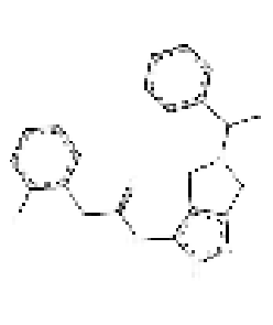 CC(c1ccccc1)N1Cc2n[nH]c(NC(=O)Cc3ccccc3F)c2C1